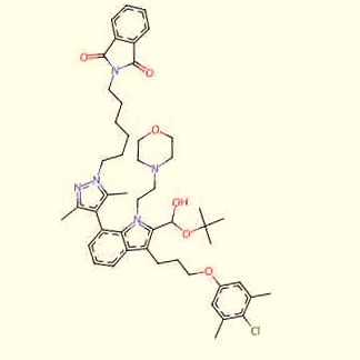 Cc1cc(OCCCc2c(C(O)OC(C)(C)C)n(CCN3CCOCC3)c3c(-c4c(C)nn(CCCCCCN5C(=O)c6ccccc6C5=O)c4C)cccc23)cc(C)c1Cl